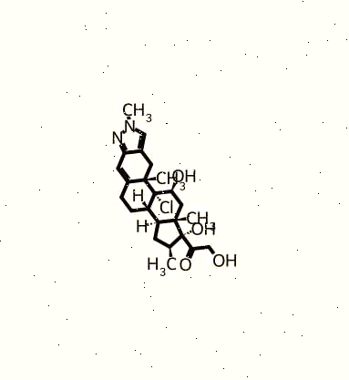 C[C@H]1C[C@H]2[C@@H]3CCC4=Cc5nn(C)cc5C[C@]4(C)[C@@]3(Cl)[C@@H](O)C[C@]2(C)[C@@]1(O)C(=O)CO